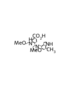 COCCNc1cc(C(=O)O)ccc1[C@@H]1CCCCN1Cc1c(OC)cc(C)c2[nH]ccc12